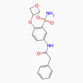 NS(=O)(=O)c1cc(NC(=O)Cc2ccccc2)ccc1OC1COC1